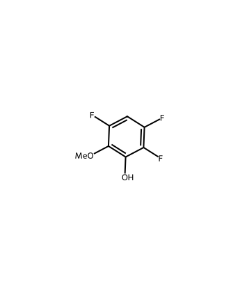 COc1c(F)cc(F)c(F)c1O